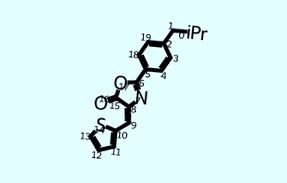 CC(C)Cc1ccc(C2=NC(=Cc3cccs3)C(=O)O2)cc1